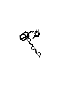 COCCOCCOC12CC3CC(CC(Cn4nccc4C)(C3)C1)C2